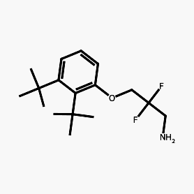 CC(C)(C)c1cccc(OCC(F)(F)CN)c1C(C)(C)C